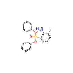 Cc1cccc(P(=O)(Oc2ccccc2)Oc2ccccc2)c1N